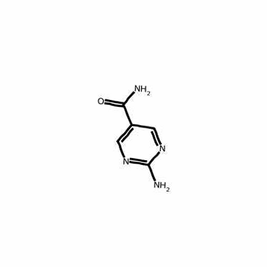 NC(=O)c1cnc(N)nc1